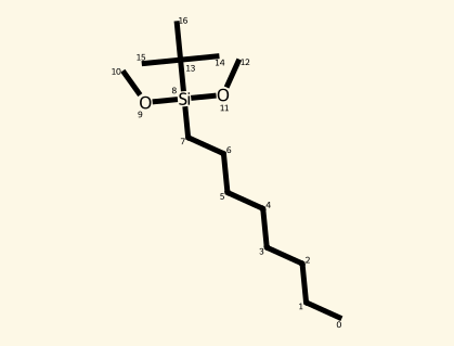 CCCCCCCC[Si](OC)(OC)C(C)(C)C